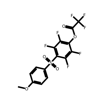 COc1ccc(S(=O)(=O)c2c(F)c(F)c(OC(=O)C(F)(F)F)c(F)c2F)cc1